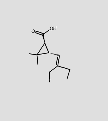 CCC(=C[C@H]1[C@H](C(=O)O)C1(C)C)CC